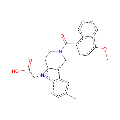 COc1ccc(C(=O)N2CCc3c(c4cc(C)ccc4n3CC(=O)O)C2)c2ccccc12